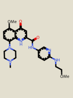 COCCNc1ccc(NC(=O)c2cc(=O)c3c(OC)ccc(N4CCN(C)CC4)c3[nH]2)cn1